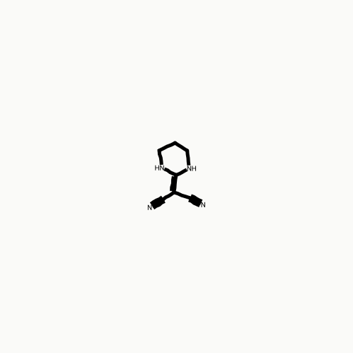 N#CC(C#N)=C1NCCCN1